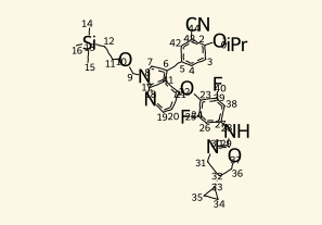 CC(C)Oc1ccc(-c2cn(COCC[Si](C)(C)C)c3nccc(Oc4c(F)cc(NC5=NC[C@@H](C6CC6)CO5)cc4F)c23)cc1C#N